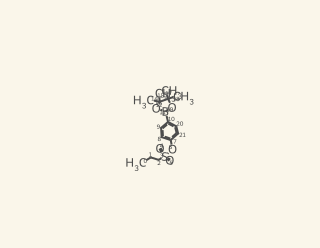 CCCS(=O)(=O)Oc1ccc(B2OC(C)(C)C(C)(C)O2)cc1